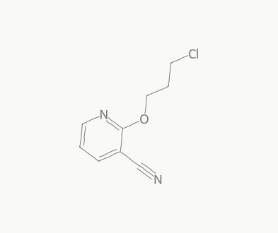 N#Cc1cccnc1OCCCCl